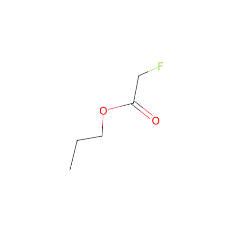 CCCOC(=O)CF